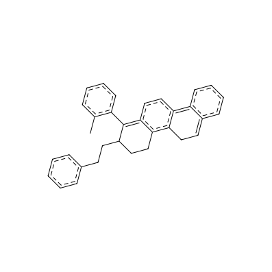 Cc1ccccc1C1=c2ccc3c(c2CCC1CCc1ccccc1)CC=c1ccccc1=3